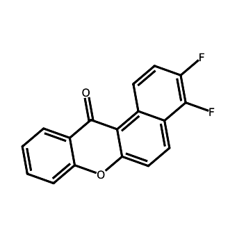 O=c1c2ccccc2oc2ccc3c(F)c(F)ccc3c12